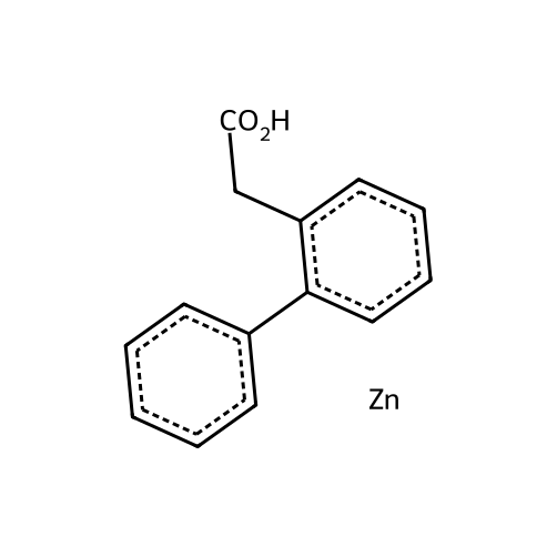 O=C(O)Cc1ccccc1-c1ccccc1.[Zn]